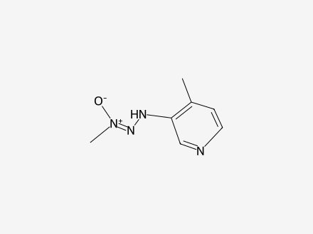 Cc1ccncc1N/N=[N+](/C)[O-]